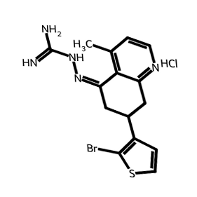 Cc1ccnc2c1/C(=N\NC(=N)N)CC(c1ccsc1Br)C2.Cl